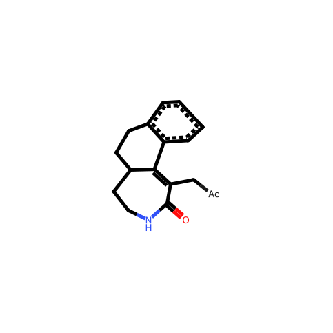 CC(=O)CC1=C2c3ccccc3CCC2CCNC1=O